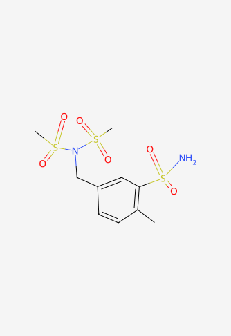 Cc1ccc(CN(S(C)(=O)=O)S(C)(=O)=O)cc1S(N)(=O)=O